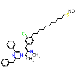 C=N/C(=C\c1ccc(CCCCCCCCCCCSN=O)c(Cl)c1)C(=C)N1C=C(C2=CCCC=C2)N=C(Cc2ccccc2)C1